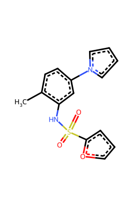 Cc1ccc(-n2cccc2)cc1NS(=O)(=O)c1ccco1